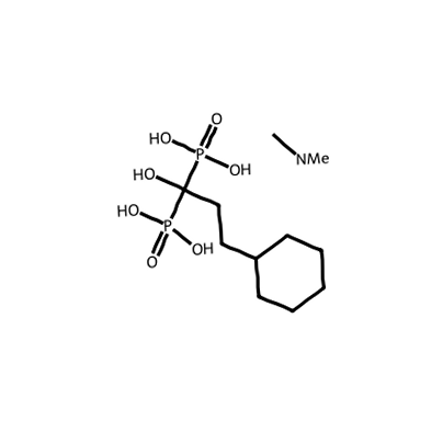 CNC.O=P(O)(O)C(O)(CCC1CCCCC1)P(=O)(O)O